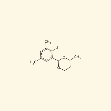 Cc1cc(C)c(I)c(C2OCCC(C)O2)c1